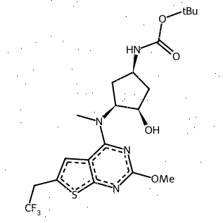 COc1nc(N(C)[C@H]2C[C@@H](NC(=O)OC(C)(C)C)C[C@H]2O)c2cc(CC(F)(F)F)sc2n1